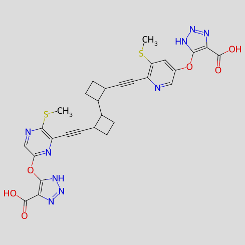 CSc1cc(Oc2[nH]nnc2C(=O)O)cnc1C#CC1CCC1C1CCC1C#Cc1nc(Oc2[nH]nnc2C(=O)O)cnc1SC